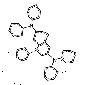 c1ccc(-c2cc(N(c3ccccc3)c3ccccc3)cc3ccc(N(c4ccccc4)c4ccccc4)cc23)cc1